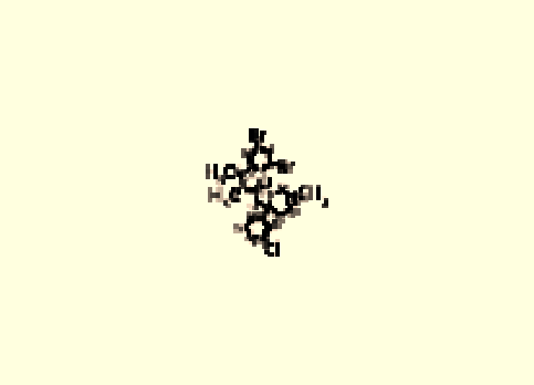 CC(c1cc(Br)cc(Br)c1)N(C)C(=O)CC1(c2cccc(Cl)c2)CCN(C)CC1